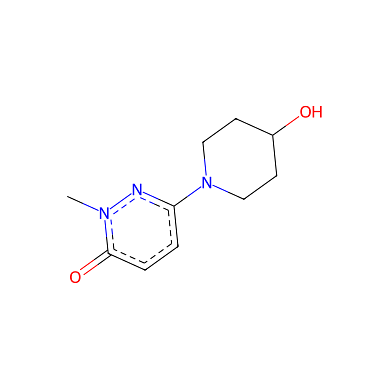 Cn1nc(N2CCC(O)CC2)ccc1=O